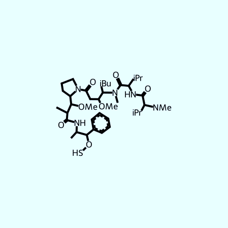 CCC(C)C(C(CC(=O)N1CCCC1C(OC)C(C)C(=O)NC(C)C(OS)c1ccccc1)OC)N(C)C(=O)C(NC(=O)C(NC)C(C)C)C(C)C